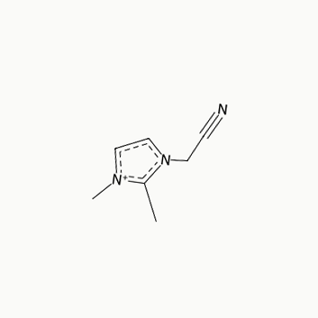 Cc1n(CC#N)cc[n+]1C